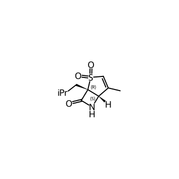 CC1=CS(=O)(=O)[C@@]2(CC(C)C)C(=O)N[C@@H]12